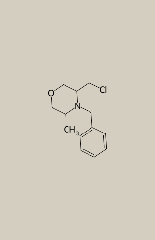 CC1COCC(CCl)N1Cc1ccccc1